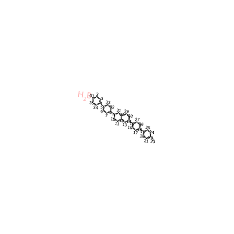 Bc1ccc(-c2ccc(-c3ccc4cc(-c5ccc(-c6ccc(C)cc6)cc5)ccc4c3)cc2)cc1